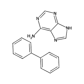 Nc1ncnc2[nH]cnc12.c1ccc(-c2ccccc2)cc1